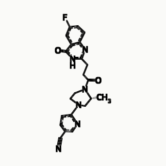 C[C@@H]1CN(c2ccc(C#N)cn2)CCN1C(=O)CCc1nc2ccc(F)cc2c(=O)[nH]1